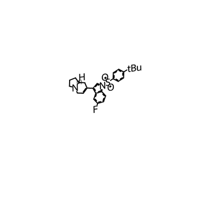 CC(C)(C)c1ccc(S(=O)(=O)n2cc(C3=CCN4CCC[C@H]4C3)c3cc(F)ccc32)cc1